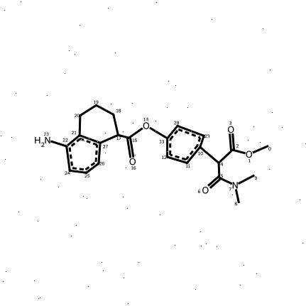 COC(=O)C(C(=O)N(C)C)c1ccc(OC(=O)C2CCCc3c(N)cccc32)cc1